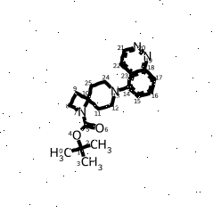 CC(C)(C)OC(=O)N1CCC12CCN(c1cccc3nnccc13)CC2